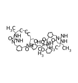 CCC1(CC)CC(=O)N(Cc2cccc(C(=O)N[C@@H]3c4ccccc4OC(C)(Cc4cccc5c4OCC4CCCCCCC6(CC)CC(=O)N(Cc7cccc(c7)C(=O)NC54)C(=N)N6)[C@H]3O)c2)C(=N)N1